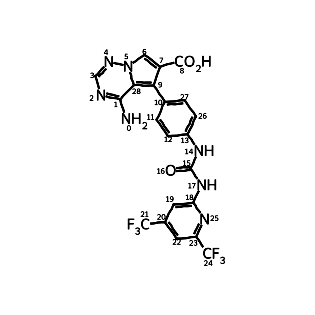 Nc1ncnn2cc(C(=O)O)c(-c3ccc(NC(=O)Nc4cc(C(F)(F)F)cc(C(F)(F)F)n4)cc3)c12